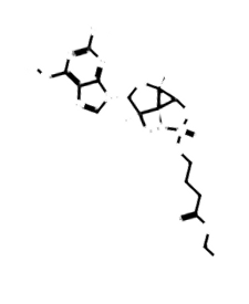 CCOC(=O)CCCOP1(=O)OC2[C@H]3O[C@@H](n4cnc5c(OC)nc(N)nc54)[C@](C)(O)[C@@]23O1